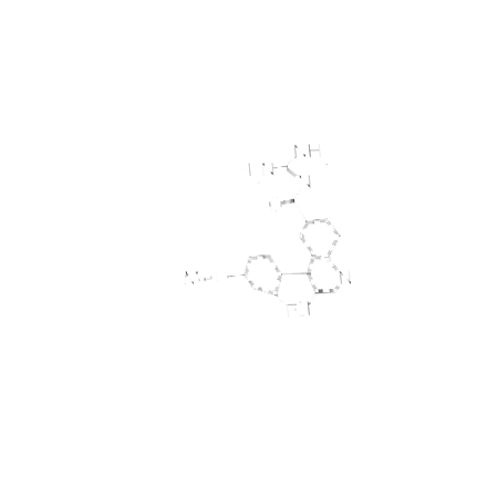 COc1ccc(-c2c(Cl)cnc3ccc(C(=O)N=C(N)N)cc23)c(F)c1